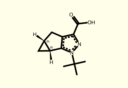 CC(C)(C)n1nc(C(=O)O)c2c1[C@@H]1C[C@@H]1C2